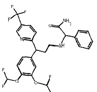 NC(=O)C(NCCC(c1ccc(OC(F)F)c(OC(F)F)c1)c1ccc(C(F)(F)F)cn1)c1ccccc1